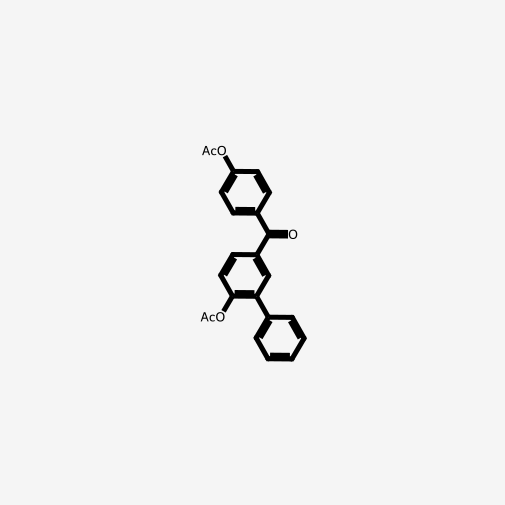 CC(=O)Oc1ccc(C(=O)c2ccc(OC(C)=O)c(-c3ccccc3)c2)cc1